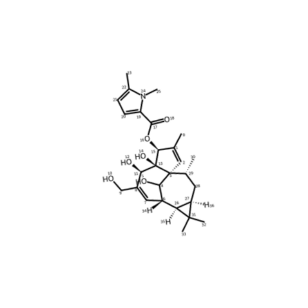 CC1=C[C@]23C(O)[C@@H](C=C(CO)[C@@H](O)[C@]2(O)[C@H]1OC(=O)c1ccc(C)n1C)[C@H]1[C@@H](C[C@H]3C)C1(C)C